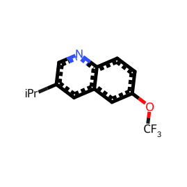 CC(C)c1cnc2ccc(OC(F)(F)F)cc2c1